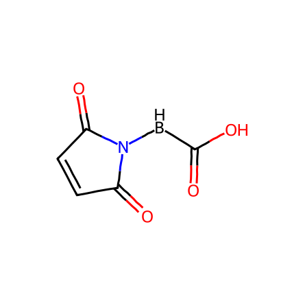 O=C(O)BN1C(=O)C=CC1=O